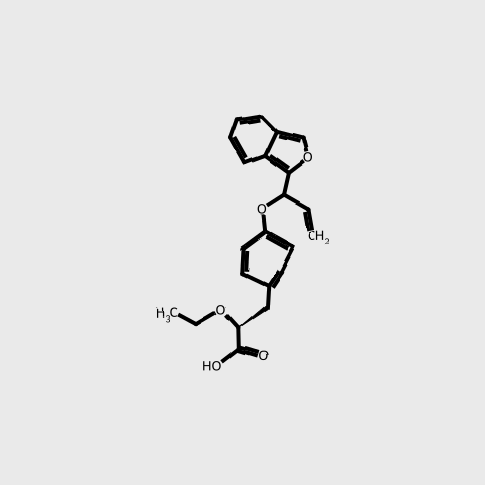 C=CC(Oc1ccc(C[C@H](OCC)C(=O)O)cc1)c1occ2ccccc12